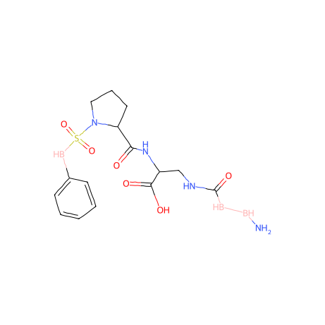 NBBC(=O)NCC(NC(=O)C1CCCN1S(=O)(=O)Bc1ccccc1)C(=O)O